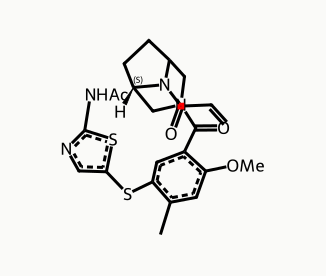 C=CC(=O)N1C2CC[C@H]1CN(C(=O)c1cc(Sc3cnc(NC(C)=O)s3)c(C)cc1OC)C2